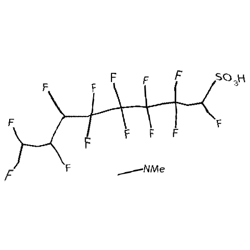 CNC.O=S(=O)(O)C(F)C(F)(F)C(F)(F)C(F)(F)C(F)(F)C(F)C(F)C(F)F